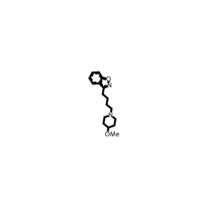 COC1CCN(CCCCc2noc3ccccc23)CC1